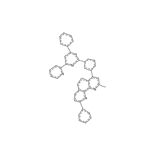 Cc1cc(-c2cccc(-c3nc(-c4ccccc4)cc(-c4ccccn4)n3)c2)c2ccc3ccc(-c4ccccc4)nc3c2n1